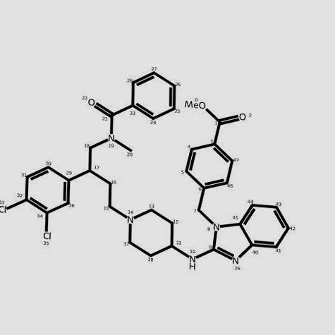 COC(=O)c1ccc(Cn2c(NC3CCN(CCC(CN(C)C(=O)c4ccccc4)c4ccc(Cl)c(Cl)c4)CC3)nc3ccccc32)cc1